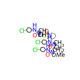 CCSC(=O)N1CCCCCC1.CN(C)C(=O)Nc1ccc(Cl)cc1.CN(C)C(=O)Nc1ccc(Cl)cc1.CON(C)C(=O)Nc1ccc(Cl)cc1